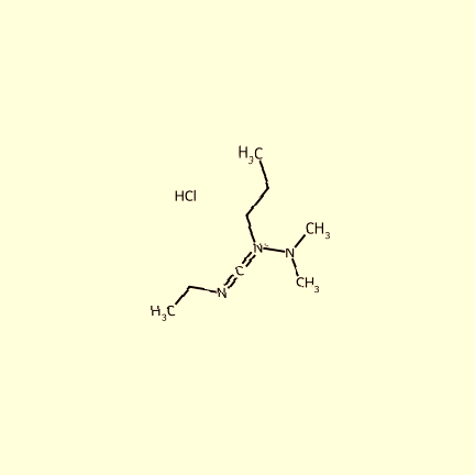 CCC[N+](=C=NCC)N(C)C.Cl